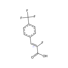 O=C(O)/C(F)=C/c1ccc(C(F)(F)F)cc1